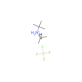 C[SiH](C)[NH2+]C(C)(C)C.F[B-](F)(F)F